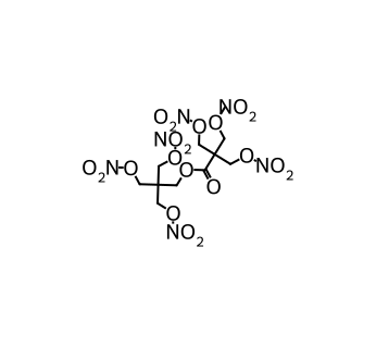 O=C(OCC(CO[N+](=O)[O-])(CO[N+](=O)[O-])CO[N+](=O)[O-])C(CO[N+](=O)[O-])(CO[N+](=O)[O-])CO[N+](=O)[O-]